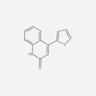 O=c1cc(-c2cccs2)c2ccccc2[nH]1